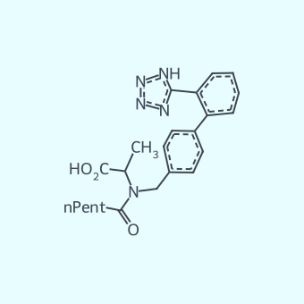 CCCCCC(=O)N(Cc1ccc(-c2ccccc2-c2nnn[nH]2)cc1)C(C)C(=O)O